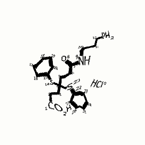 Cl.O=C(O)CCC(CCC(=O)NCCCP)(Sc1ccccc1)Sc1ccccc1